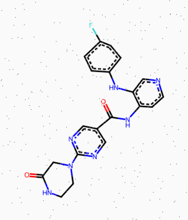 O=C1CN(c2ncc(C(=O)Nc3ccncc3Nc3ccc(F)cc3)cn2)CCN1